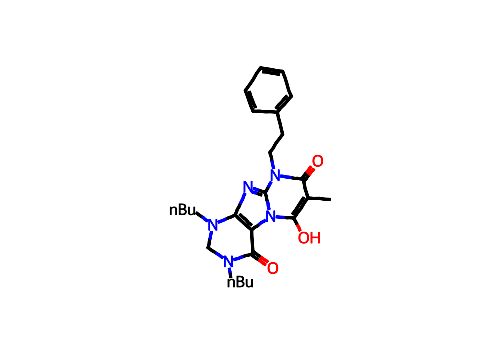 CCCCN1CN(CCCC)c2nc3n(CCc4ccccc4)c(=O)c(C)c(O)n3c2C1=O